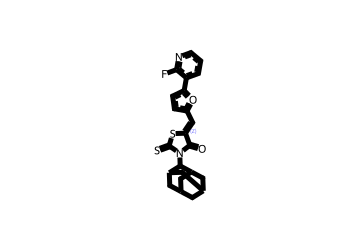 O=C1/C(=C/c2ccc(-c3cccnc3F)o2)SC(=S)N1C1C2CC3CC(C2)CC1C3